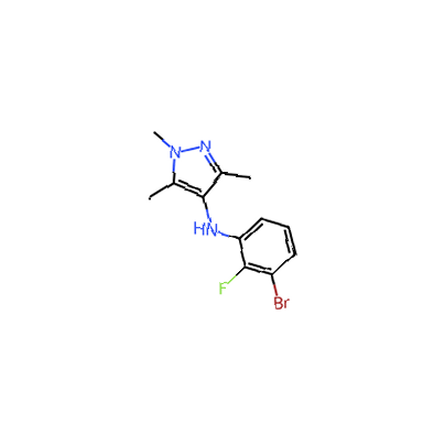 Cc1nn(C)c(C)c1Nc1cccc(Br)c1F